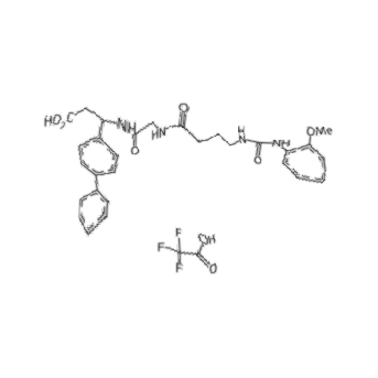 COc1ccccc1NC(=O)NCCCC(=O)NCC(=O)NC(CC(=O)O)c1ccc(-c2ccccc2)cc1.O=C(O)C(F)(F)F